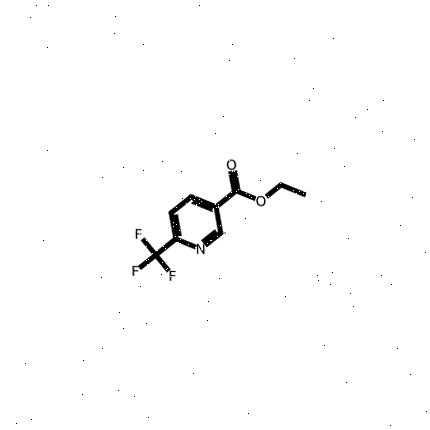 CCOC(=O)c1[c]nc(C(F)(F)F)cc1